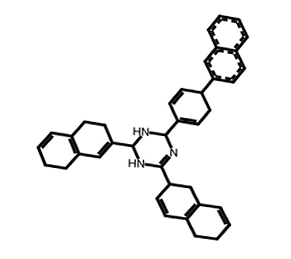 C1=CC2=C(C=C(C3NC(C4C=CC5=C(C=CCC5)C4)=NC(C4=CCC(c5ccc6ccccc6c5)C=C4)N3)CC2)CC1